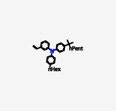 C=Cc1cccc(N(c2ccc(CCCCCC)cc2)c2ccc(C(C)(C)CCCCC)cc2)c1